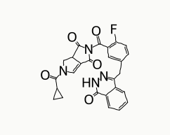 O=C(C1CC1)N1C=C2C(=O)N(C(=O)c3cc(Cc4n[nH]c(=O)c5ccccc45)ccc3F)C(=O)C2C1